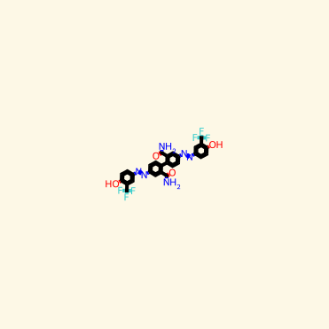 NC(=O)c1cc(N=Nc2ccc(O)c(C(F)(F)F)c2)ccc1-c1ccc(N=Nc2ccc(O)c(C(F)(F)F)c2)cc1C(N)=O